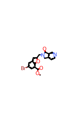 COC(=O)c1cc(Br)cc2cc(CN3Cc4ccncc4C3=O)oc12